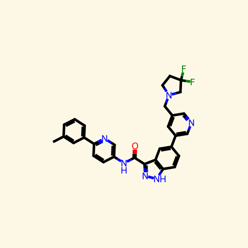 Cc1cccc(-c2ccc(NC(=O)c3n[nH]c4ccc(-c5cncc(CN6CCC(F)(F)C6)c5)cc34)cn2)c1